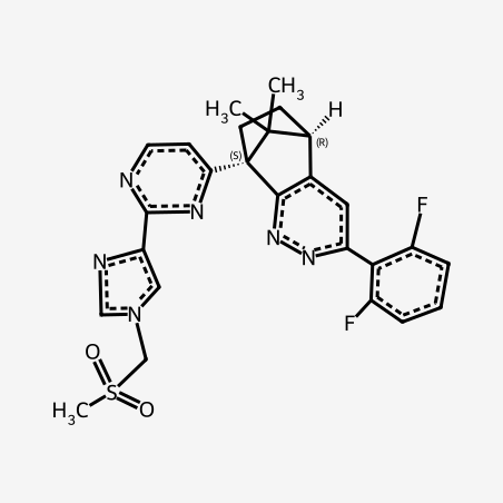 CC1(C)[C@H]2CC[C@]1(c1ccnc(-c3cn(CS(C)(=O)=O)cn3)n1)c1nnc(-c3c(F)cccc3F)cc12